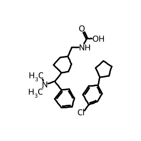 CN(C)C(c1ccccc1)C1CCC(CNC(=O)O)CC1.Clc1ccc(C2CCCC2)cc1